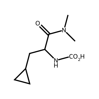 CN(C)C(=O)C(CC1CC1)NC(=O)O